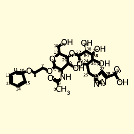 CC(=O)N[C@H]1C(OCCOc2ccccc2)OC(CO)[C@@H](OC2OC(Cn3cc(C(=O)O)nn3)C(O)C(O)[C@H]2O)C1O